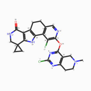 CN1CCc2nc(Cl)nc(Oc3ncc4c(c3F)-c3[nH]c5c(c3CC4)C(=O)NCC53CC3)c2C1